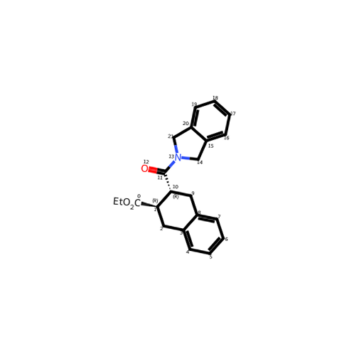 CCOC(=O)[C@@H]1Cc2ccccc2C[C@H]1C(=O)N1Cc2ccccc2C1